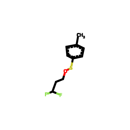 Cc1ccc(SOCCC(F)F)cc1